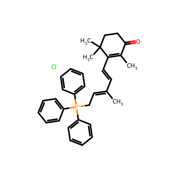 CC(C=CC1=C(C)C(=O)CCC1(C)C)=CC[P+](c1ccccc1)(c1ccccc1)c1ccccc1.[Cl-]